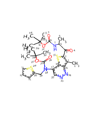 Cc1c(C(=O)C(C)NC(=O)OC(C)(C)C)sc2c(N(Cc3cccs3)C(=O)OC(C)(C)C)cnnc12